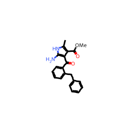 COC(=O)c1c(C)[nH]c(N)c1C(=O)c1ccccc1Cc1ccccc1